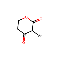 CC(=O)C1C(=O)CCOC1=O